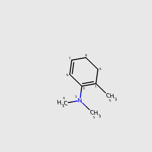 CC1=C(N(C)C)C=CCC1